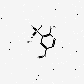 COc1ccc(N=N)cc1S(=O)(=O)[O-].[Na+]